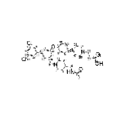 CC(=O)NCC1CCN(Cc2cc(Oc3ccc(N4CCN(CCC(=O)O)CC4)nc3)cc(-c3cc(Cl)cc(Cl)c3)c2)CC1